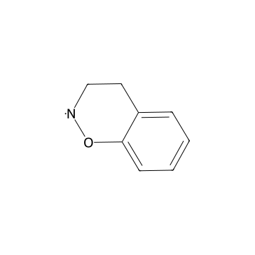 c1ccc2c(c1)CC[N]O2